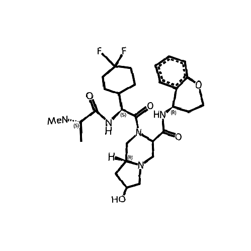 CN[C@@H](C)C(=O)N[C@H](C(=O)N1C[C@H]2CC(O)CN2CC1C(=O)N[C@@H]1CCOc2ccccc21)C1CCC(F)(F)CC1